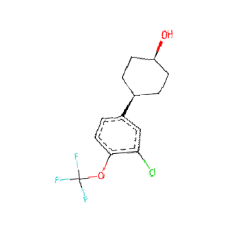 O[C@H]1CC[C@@H](c2ccc(OC(F)(F)F)c(Cl)c2)CC1